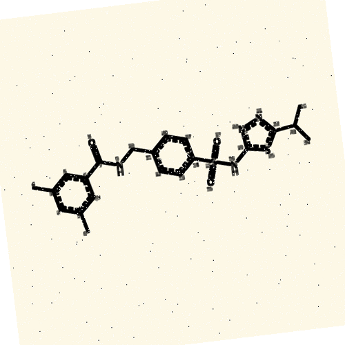 Cc1cc(C)cc(C(=O)NCc2ccc(S(=O)(=O)Nc3nnc(C(C)C)s3)cc2)c1